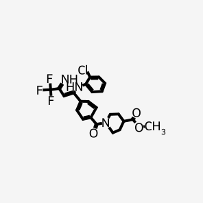 COC(=O)C1CCN(C(=O)c2ccc(/C(=C/C(=N)C(F)(F)F)Nc3ccccc3Cl)cc2)CC1